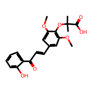 COc1cc(/C=C/C(=O)c2ccccc2O)cc(OC)c1OC(C)(C)C(=O)O